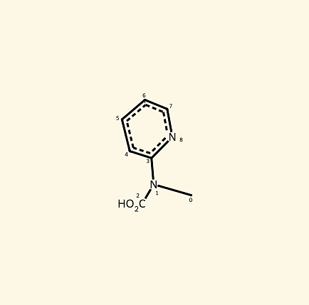 CN(C(=O)O)c1cc[c]cn1